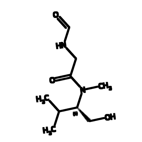 CC(C)[C@@H](CO)N(C)C(=O)CNC=O